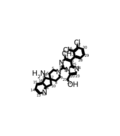 Cc1nc(N2CCC3(CC2)Cc2ncccc2[C@H]3N)n2c(CO)cnc2c1-c1cccc(Cl)c1Cl